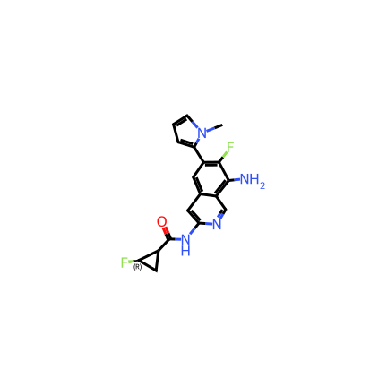 Cn1cccc1-c1cc2cc(NC(=O)C3C[C@H]3F)ncc2c(N)c1F